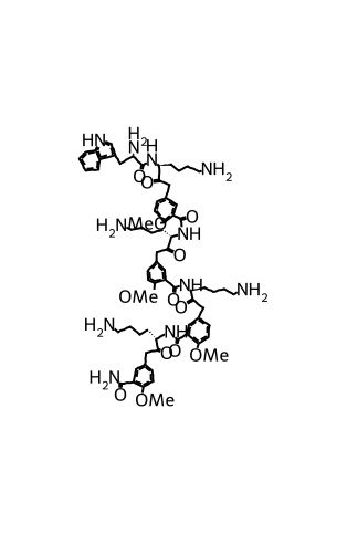 COc1ccc(CC(=O)[C@H](CCCCN)NC(=O)c2cc(CC(=O)[C@H](CCCCN)NC(=O)c3cc(CC(=O)[C@H](CCCCN)NC(=O)c4cc(CC(=O)[C@H](CCCCN)NC(=O)[C@@H](N)Cc5c[nH]c6ccccc56)ccc4OC)ccc3OC)ccc2OC)cc1C(N)=O